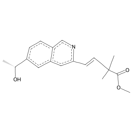 COC(=O)C(C)(C)/C=C/c1cc2cc([C@@H](C)O)ccc2cn1